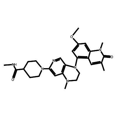 CNC(=O)C1CCN(c2cc3c(cn2)N(c2cc(OC)cc4c2cc(C)c(=O)n4C)CCN3C)CC1